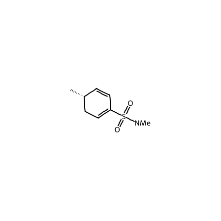 CNS(=O)(=O)C1=CC[C@H](C)C=C1